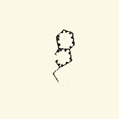 C[C@@H](N)c1cc2ccccc2s1